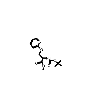 COC(=O)C(COc1ccccn1)NC(=O)OC(C)(C)C